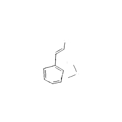 CC=Cc1ccccc1.COC